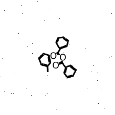 Cc1ccccc1.O=C(OC(=O)c1ccccc1)c1ccccc1